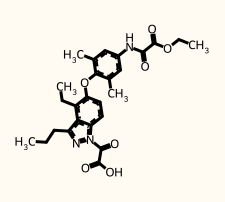 CCCc1nn(C(=O)C(=O)O)c2ccc(Oc3c(C)cc(NC(=O)C(=O)OCC)cc3C)c(CC)c12